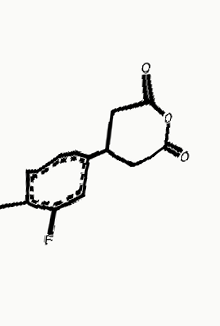 O=C1CC(c2ccc(Cl)c(F)c2)CC(=O)O1